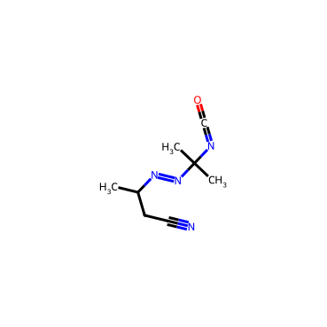 CC(CC#N)N=NC(C)(C)N=C=O